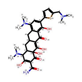 CN(C)Cc1ccc(-c2cc(N(C)C)c3c(c2O)C(=O)C2=C(O)C4(O)C(=O)C(C(N)=O)=C(O)C(N(C)C)C4CC2C3)s1